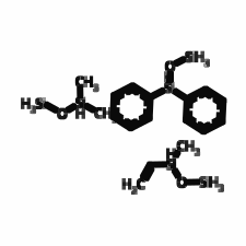 C=C[SiH](C)O[SiH3].C[SiH](C)O[SiH3].[SiH3]O[SiH](c1ccccc1)c1ccccc1